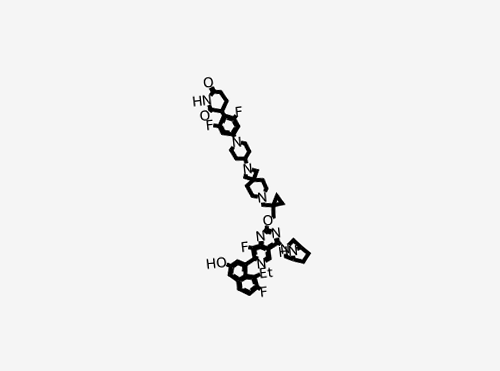 CCc1c(F)ccc2cc(O)cc(-c3ncc4c(N5CC6CCC(C5)N6)nc(OCC5(CN6CCC7(CC6)CN(C6CCN(c8cc(F)c(C9CCC(=O)NC9=O)c(F)c8)CC6)C7)CC5)nc4c3F)c12